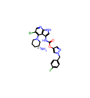 N[C@@H]1CCCN(c2c(Br)cnc3[nH]cc(NC(=O)Oc4cnn(Cc5ccc(F)cc5)c4)c23)C1